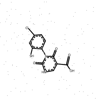 O=C(O)c1c[nH]c(=O)n(-c2ccc(Cl)cc2S)c1=O